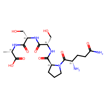 C[C@H](NC(=O)[C@H](CO)NC(=O)[C@H](CO)NC(=O)[C@@H]1CCCN1C(=O)[C@@H](N)CCC(N)=O)C(=O)O